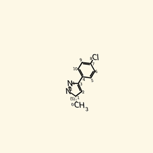 C[C@H]1C=C(c2ccc(Cl)cc2)N=N1